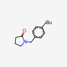 CCC(C)c1ccc(CN2CCCC2=O)cc1